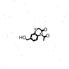 CC(=O)N1C(=O)CSc2cc(CO)ccc21